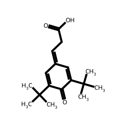 CC(C)(C)C1=CC(=CCC(=O)O)C=C(C(C)(C)C)C1=O